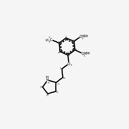 [CH2]c1cc(OC)c(OC)c(OCCC2CCCN2)c1